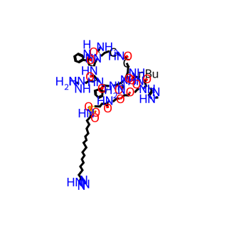 CCCC[C@H](NC(=O)[C@H](Cc1c[nH]cn1)NC(=O)COCCOCCNC(=O)CCCS(=O)(=O)NC(=O)CCCCCCCCCCCCCCCc1nnn[nH]1)C(=O)N[C@H]1CCC(=O)NCCCC[C@@H](C(N)=O)NC(=O)[C@H](Cc2c[nH]c3ccccc23)NC(=O)[C@H](CCCNC(=N)N)NC(=O)[C@@H](Cc2ccccc2)NC(=O)[C@H](CN)NC1=O